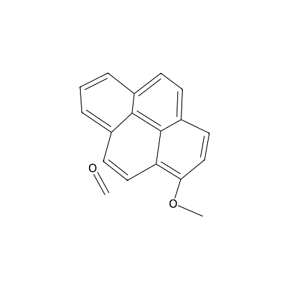 C=O.COc1ccc2ccc3cccc4ccc1c2c34